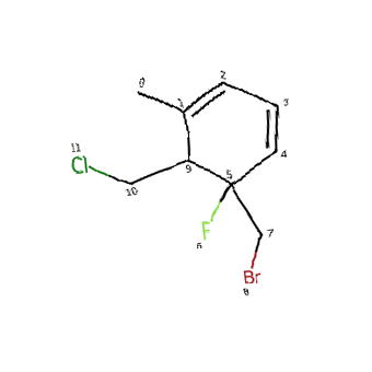 CC1=CC=CC(F)(CBr)C1CCl